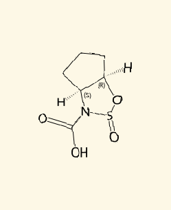 O=C(O)N1[C@H]2CCC[C@H]2OS1=O